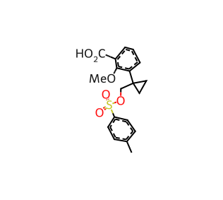 COc1c(C(=O)O)cccc1C1(COS(=O)(=O)c2ccc(C)cc2)CC1